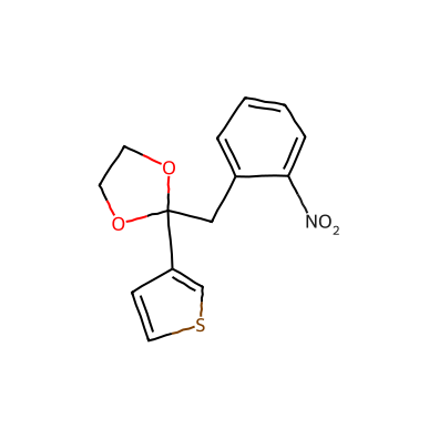 O=[N+]([O-])c1ccccc1CC1(c2ccsc2)OCCO1